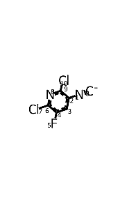 [C-]#[N+]c1cc(F)c(Cl)nc1Cl